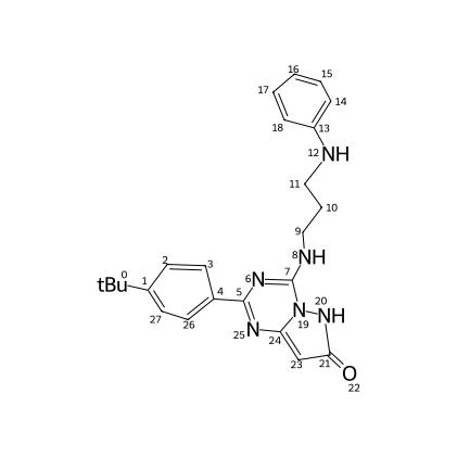 CC(C)(C)c1ccc(-c2nc(NCCCNc3ccccc3)n3[nH]c(=O)cc3n2)cc1